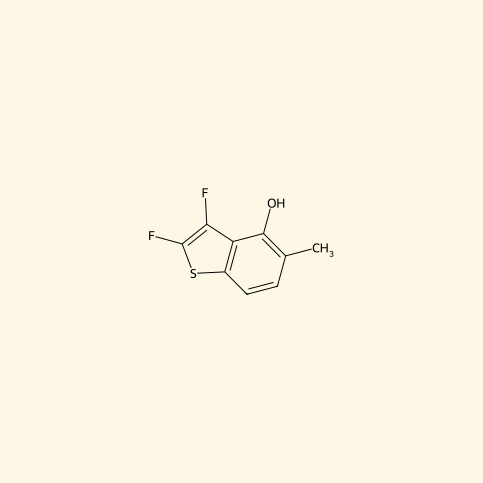 Cc1ccc2sc(F)c(F)c2c1O